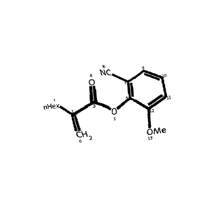 C=C(CCCCCC)C(=O)Oc1c(C#N)cccc1OC